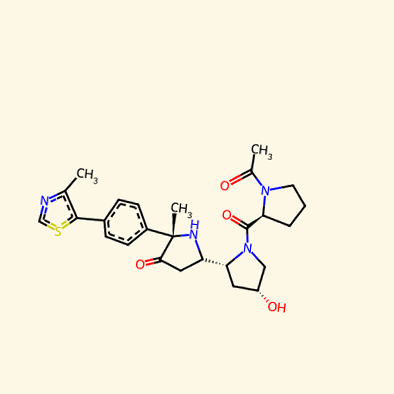 CC(=O)N1CCC[C@H]1C(=O)N1C[C@H](O)C[C@@H]1C1CC(=O)[C@](C)(c2ccc(-c3scnc3C)cc2)N1